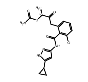 C[C@H](OC(N)=O)C(=O)Cc1cccc(Cl)c1C(=O)Nc1cc(C2CC2)[nH]n1